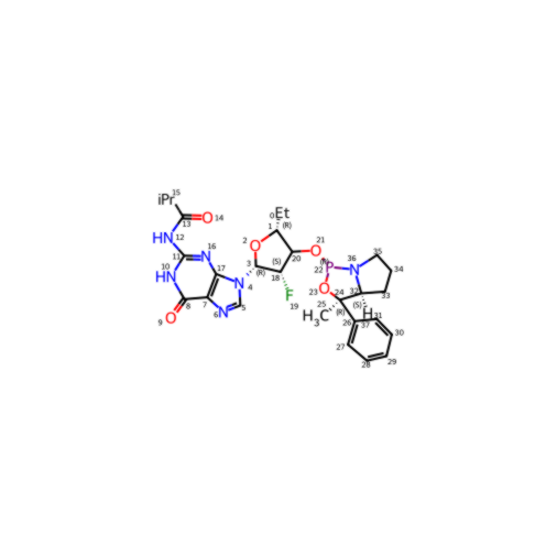 CC[C@H]1O[C@@H](n2cnc3c(=O)[nH]c(NC(=O)C(C)C)nc32)[C@@H](F)C1O[P@@]1O[C@](C)(c2ccccc2)[C@@H]2CCCN21